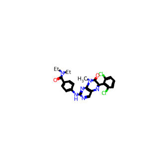 CCN(CC)C(=O)c1ccc(Nc2ncc3nc(-c4c(Cl)cccc4Cl)c(=O)n(C)c3n2)cc1